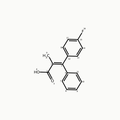 CC(C(=O)O)=C(c1ccccc1)c1ccc(F)cc1